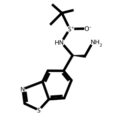 CC(C)(C)[S+]([O-])N[C@@H](CN)c1ccc2scnc2c1